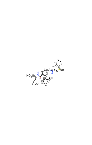 CSCCC(NC(=O)c1ccc(CNC(CSC(C)(C)C)CC2CCCCC2)cc1-c1ccccc1C)C(=O)O